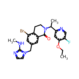 CCOc1cc(C(C)N2CCc3c(Br)cc(Cn4ccnc4NC)cc3C2=O)ncc1F